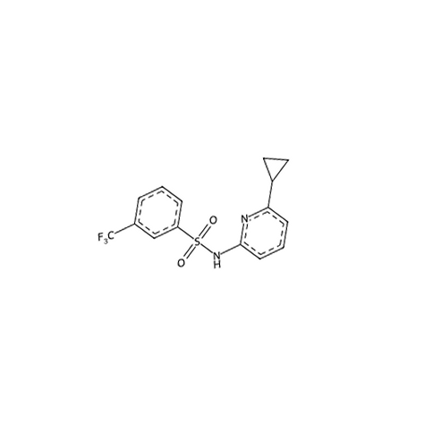 O=S(=O)(Nc1cccc(C2CC2)n1)c1cccc(C(F)(F)F)c1